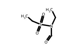 CCN([C]=O)S(=O)(=O)CC